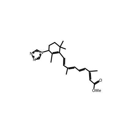 COC(=O)C=C(C)C=CC=C(C)C=CC1=C(C)C(n2cnnc2)CCC1(C)C